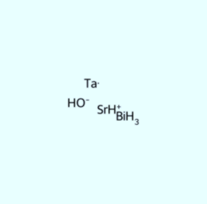 [BiH3].[OH-].[SrH+].[Ta]